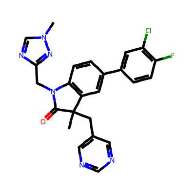 Cn1cnc(CN2C(=O)C(C)(Cc3cncnc3)c3cc(-c4ccc(F)c(Cl)c4)ccc32)n1